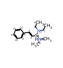 CCN(CC)[SiH](C=Cc1ccccc1)N(C)C